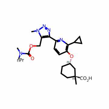 CCCN(C)C(=O)OCc1c(-c2ccc(O[C@H]3CCC[C@](C)(C(=O)O)C3)c(C3CC3)n2)nnn1C